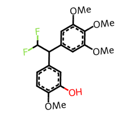 COc1ccc(C(c2cc(OC)c(OC)c(OC)c2)C(F)F)cc1O